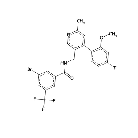 COc1cc(F)ccc1-c1cc(C)ncc1CNC(=O)c1cc(Br)cc(C(F)(F)F)c1